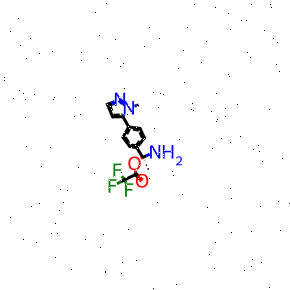 Cn1nccc1-c1ccc([C@@](C)(N)OC(=O)C(F)(F)F)cc1